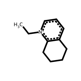 CC[n+]1cccc2c1CCCC2